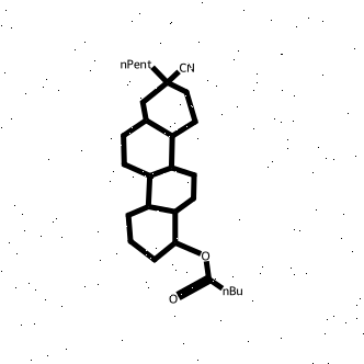 CCCCCC1(C#N)CCC2C(CCC3C2CCC2C(OC(=O)CCCC)CCCC23)C1